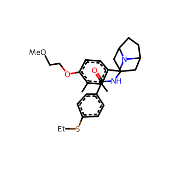 CCSc1ccc(C(=O)NC2CC3CCC(C2)N3Cc2ccc(OCCOC)c(C)c2C)cc1